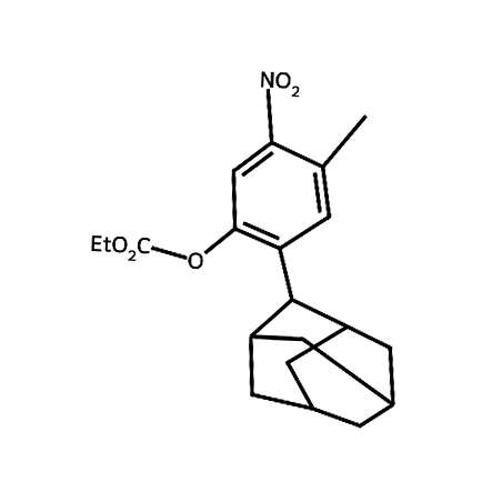 CCOC(=O)Oc1cc([N+](=O)[O-])c(C)cc1C1C2CC3CC(C2)CC1C3